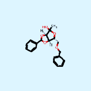 CC1(O)O[C@H](COCc2ccccc2)[C@H]2OC(c3ccccc3)O[C@H]21